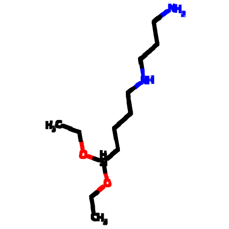 CCO[SiH](CCCCNCCCN)OCC